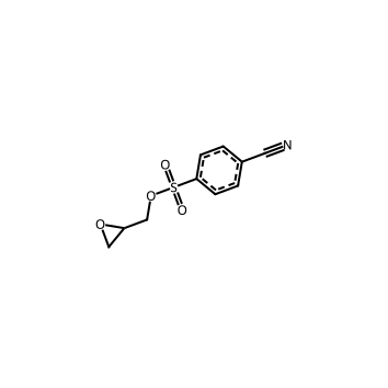 N#Cc1ccc(S(=O)(=O)OCC2CO2)cc1